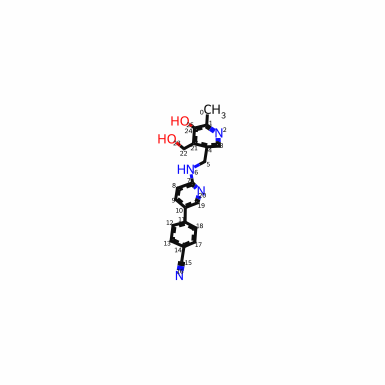 Cc1ncc(CNc2ccc(-c3ccc(C#N)cc3)cn2)c(CO)c1O